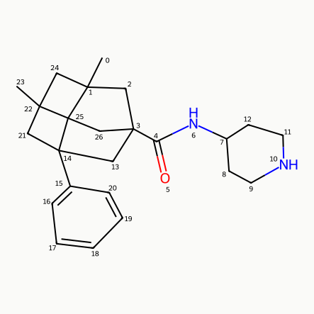 CC12CC3(C(=O)NC4CCNCC4)CC4(c5ccccc5)CC(C)(C1)C24C3